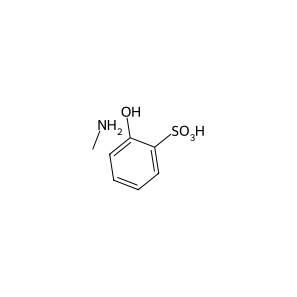 CN.O=S(=O)(O)c1ccccc1O